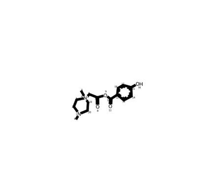 CN1CC[N+](C)(CC(=O)OC(=O)c2ccc(O)cc2)CC1